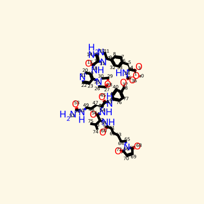 COC(=O)[C@H](Cc1ccc(-c2cnc(N)c(C(=O)Nc3cnccc3N3CCOCC3)n2)cc1)NC(=O)OCc1ccc(NC(=O)[C@H](CCCNC(N)=O)NC(=O)C(NC(=O)CCCCCN2C(=O)C=CC2=O)C(C)C)cc1